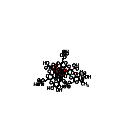 CO[C@H]1O[C@H](COS(=O)(=O)O)[C@@H](O[C@@H]2O[C@@H](C(=O)O)[C@@H](O[C@H]3O[C@H](COS(=O)(=O)O)[C@@H](OC4O[C@H](C(=O)O)[C@@H](O[C@H]5O[C@H](COS(=O)(=O)O)[C@@H](O[C@@H]6OC(C(=O)O)=C[C@H](O)[C@H]6O)[C@H](O)[C@H]5NC(C)=O)[C@H](O)[C@H]4O)[C@H](OS(=O)(=O)O)[C@H]3NS(=O)(=O)O)[C@H](O)[C@H]2OS(=O)(=O)O)[C@H](O)[C@H]1NS(=O)(=O)O